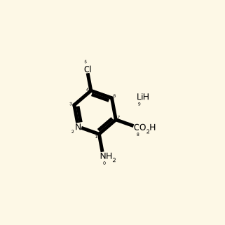 Nc1ncc(Cl)cc1C(=O)O.[LiH]